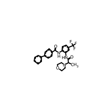 CC(C(=O)Nc1cc(C(F)(F)F)ccc1NC(=O)c1ccc(-c2ccccc2)cc1)N1CCOCC1